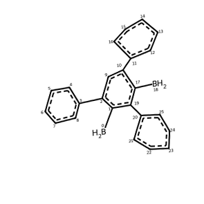 Bc1c(-c2ccccc2)cc(-c2ccccc2)c(B)c1-c1ccccc1